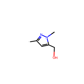 [CH2]c1cc(CO)n(C)n1